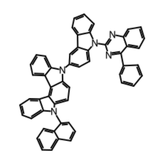 c1ccc(-c2nc(-n3c4ccccc4c4cc(-n5c6ccccc6c6c7c8ccccc8n(-c8cccc9ccccc89)c7ccc65)ccc43)nc3ccccc23)cc1